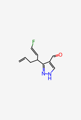 C=CCC(C=CF)c1n[nH]cc1C=O